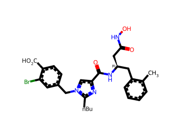 CCCCc1nc(C(=O)N[C@@H](CC(=O)NO)Cc2ccccc2C)cn1Cc1ccc(C(=O)O)c(Br)c1